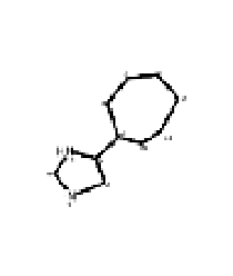 C1CCCC(C2C[N]CN2)CC1